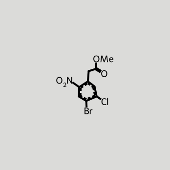 COC(=O)Cc1cc(Cl)c(Br)cc1[N+](=O)[O-]